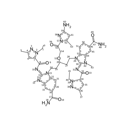 CCn1nc(C)cc1C(=O)N=c1n(C)c2cc(C(N)=O)ccc2n1CCC(CCn1c(=NC(=O)c2cc(C)nn2CC)n(C)c2cc(C(N)=O)ccc21)OCC(=O)n1nc(N)cc1C